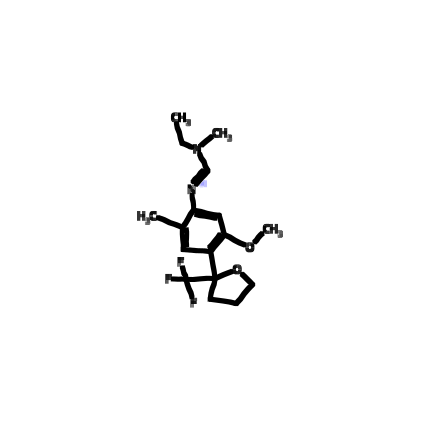 CCN(C)/C=N/c1cc(OC)c(C2(C(F)(F)F)CCCO2)cc1C